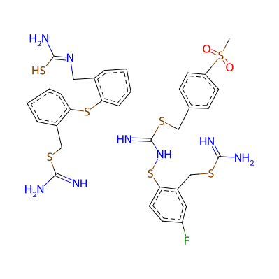 CS(=O)(=O)c1ccc(CSC(=N)NSc2ccc(F)cc2CSC(=N)N)cc1.N=C(N)SCc1ccccc1Sc1ccccc1CN=C(N)S